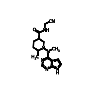 CC1CCC(C(=O)NCC#N)CN1N(C)c1ncnc2[nH]ccc12